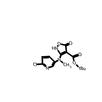 CN(c1ccc(Cl)nc1)c1[nH]oc(=O)c1C(=O)OC(C)(C)C